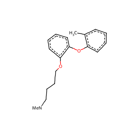 CNCCCCOc1ccccc1Oc1ccccc1C